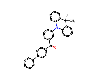 CC1(C)c2ccccc2N(c2cccc(C(=O)c3ccc(-c4ccccc4)cc3)c2)c2ccccc21